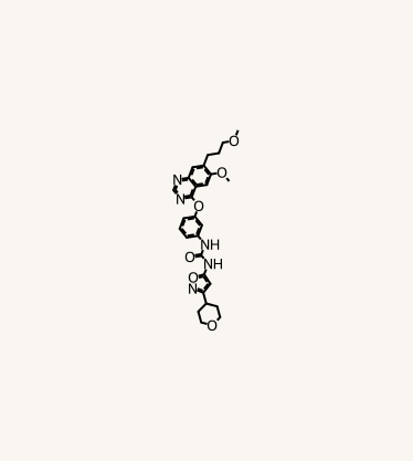 COCCCc1cc2ncnc(Oc3cccc(NC(=O)Nc4cc(C5CCOCC5)no4)c3)c2cc1OC